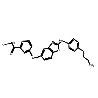 NCCCc1ccc(Nc2nc3cc(Oc4ccnc(C(=O)NCl)c4)ccc3s2)cc1